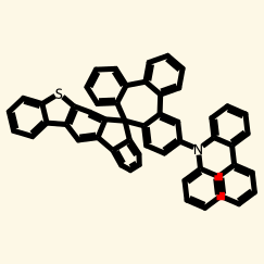 c1ccc(-c2ccccc2N(c2ccccc2)c2ccc3c(c2)-c2ccccc2-c2ccccc2C32c3ccccc3-c3cc4c(cc32)sc2ccccc24)cc1